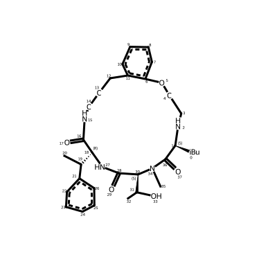 CCC(C)[C@@H]1NCCOc2ccccc2CCCNC(=O)[C@@H](C(C)c2ccccc2)NC(=O)[C@H](C(C)O)N(C)C1=O